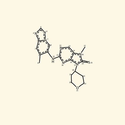 Cc1cc2ncnn2cc1Nc1ncc2c(n1)n(C1CCOCC1)c(=S)n2C